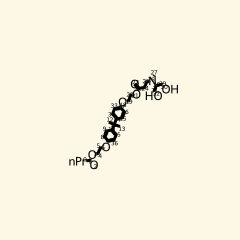 CCCC(=O)OCCOc1ccc(C(C)(C)c2ccc(OCCOC(=O)CCN(C)C(CO)CO)cc2)cc1